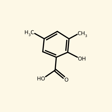 Cc1cc(C)c(O)c(C(=O)O)c1